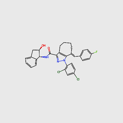 O=C(N[C@H]1c2ccccc2C[C@H]1O)c1nn(-c2ccc(Cl)cc2Cl)c2c1CCCC/C2=C\c1ccc(F)cc1